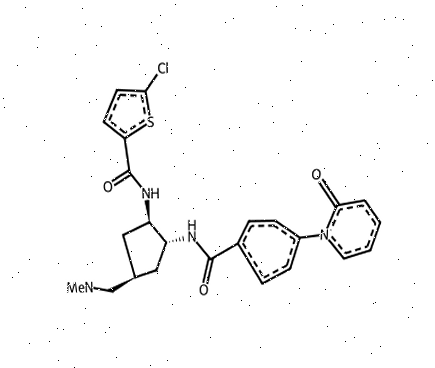 CNC[C@@H]1C[C@@H](NC(=O)c2ccc(-n3ccccc3=O)cc2)[C@H](NC(=O)c2ccc(Cl)s2)C1